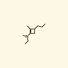 CCCC1CC(N(C)CC)=C1C